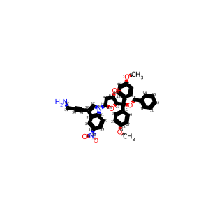 COc1ccc(C(OCc2ccccc2)(c2ccc(OC)cc2)C2OC(n3cc(C#CCN)c4cc([N+](=O)[O-])ccc43)CC2O)cc1